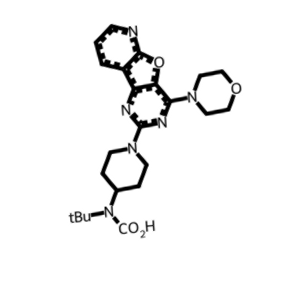 CC(C)(C)N(C(=O)O)C1CCN(c2nc(N3CCOCC3)c3oc4ncccc4c3n2)CC1